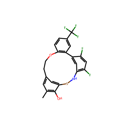 Cc1cc2cc(c1O)SNc1cc(c(F)cc1F)-c1cc(C(F)(F)F)ccc1OCC2